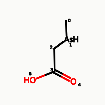 C[AsH]CC(=O)O